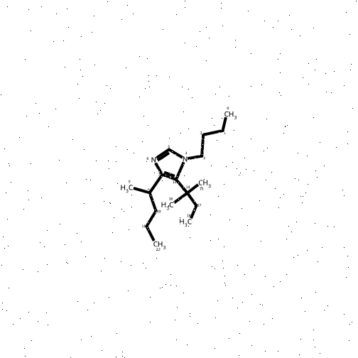 CCCCn1cnc(C(C)CCC)c1C(C)(C)CC